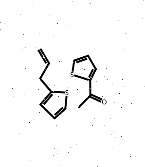 C=CCc1cccs1.CC(=O)c1cccs1